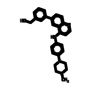 CN1CCN(c2ccc(Nc3ccnc4ccc(-c5cccc(CO)c5)cc34)cc2)CC1